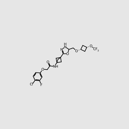 O=C(COc1ccc(Cl)c(F)c1)NC12CC(C3=NNC(CO[C@H]4C[C@@H](OC(F)(F)F)C4)O3)(C1)C2